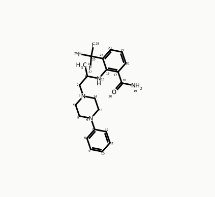 CC(CN1CCN(c2ccccc2)CC1)Nc1c(C(N)=O)cccc1C(F)(F)F